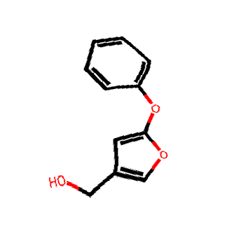 OCc1coc(Oc2ccccc2)c1